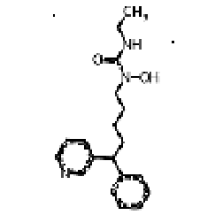 CCNC(=O)N(O)CCCCC(c1ccccc1)c1cccnc1